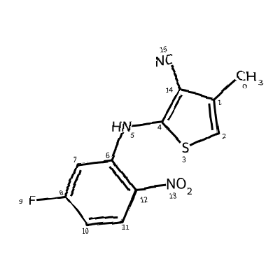 Cc1csc(Nc2cc(F)ccc2[N+](=O)[O-])c1C#N